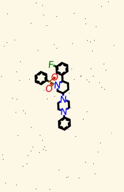 O=S(=O)(c1ccccc1)N1CC(N2CCN(c3ccccc3)CC2)CCC1c1cccc(F)c1